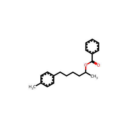 Cc1ccc(CCCCC(C)OC(=O)c2ccccc2)cc1